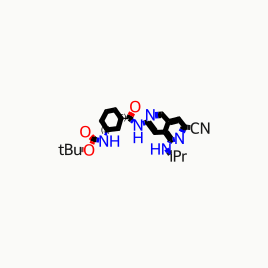 CC(C)Nc1nc(C#N)cc2cnc(NC(=O)[C@H]3CCC[C@H](NC(=O)OC(C)(C)C)C3)cc12